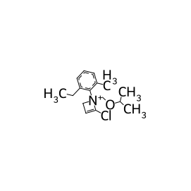 CCc1cccc(C)c1[N+]1(COC(C)C)CC=C1Cl